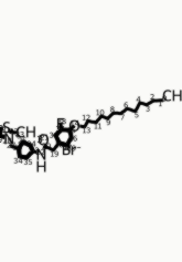 CCCCCCCCCCCCCCOc1ccc(CC(=O)Nc2ccc(C[n+]3ccsc3C)cc2)cc1F.[Br-]